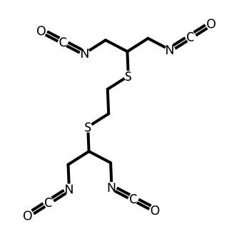 O=C=NCC(CN=C=O)SCCSC(CN=C=O)CN=C=O